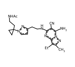 CCc1c(C)nn2c(N)c(C#N)c(NCCc3ccn(C4(CCNC(C)=O)CC4)n3)nc12